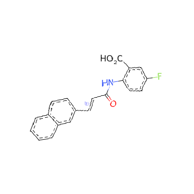 O=C(/C=C/c1ccc2ccccc2c1)Nc1ccc(F)cc1C(=O)O